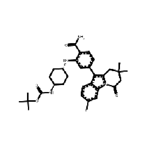 CC1(C)CC(=O)n2c(c(-c3ccc(C(N)=O)c(N[C@H]4CC[C@H](NC(=O)OC(C)(C)C)CC4)c3)c3ccc(F)cc32)C1